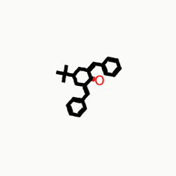 CC(C)(C)C1CC(=Cc2ccccc2)C(=O)C(=Cc2ccccc2)C1